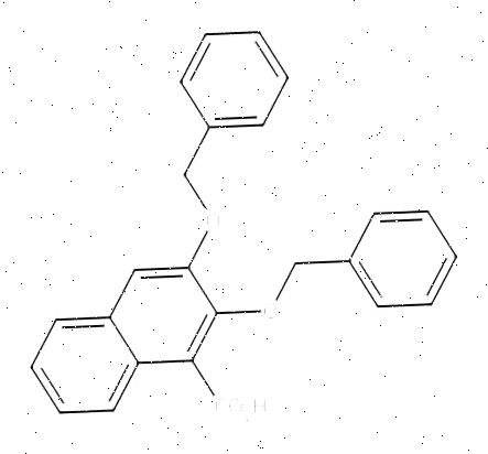 O=C(O)c1c(OCc2ccccc2)c(OCc2ccccc2)cc2ccccc12